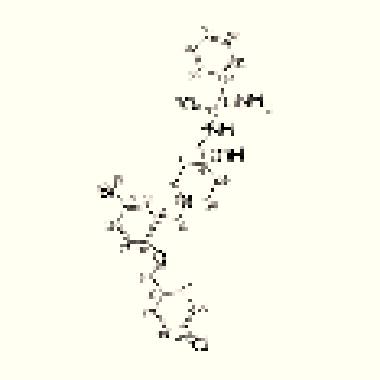 N[C@H](C(=O)NCC1(O)CCN(Cc2cc(Br)ccc2OCc2ccc(Cl)cc2)CC1)c1ccccc1